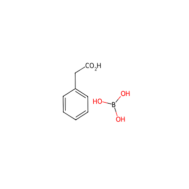 O=C(O)Cc1ccccc1.OB(O)O